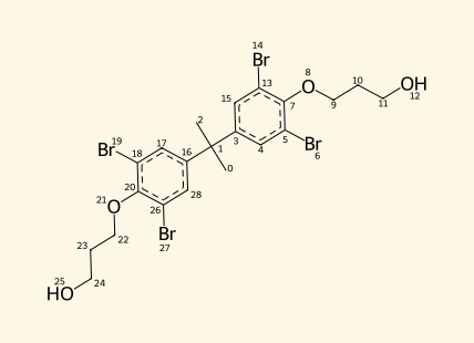 CC(C)(c1cc(Br)c(OCCCO)c(Br)c1)c1cc(Br)c(OCCCO)c(Br)c1